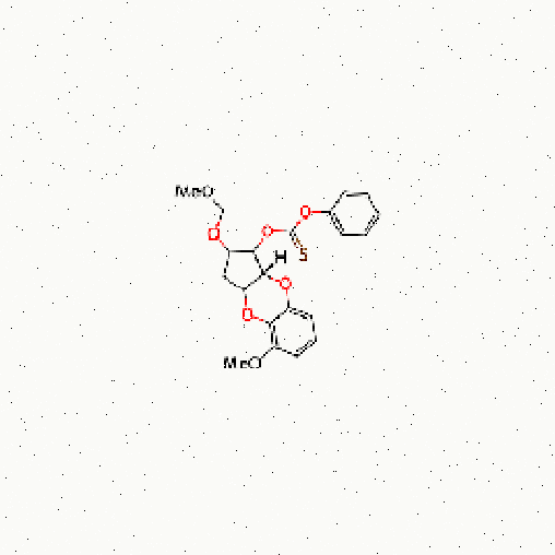 COCOC1CC2Oc3c(OC)cccc3O[C@H]2C1OC(=S)Oc1ccccc1